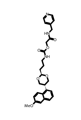 COc1ccc2c(cccc2[C@H]2CO[C@H](CCCNC(=O)OCC(=O)NCc3ccncc3)OC2)c1